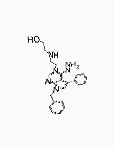 NN=c1c2c(-c3ccccc3)cn(Cc3ccccc3)c2ncn1CCNCCO